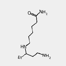 CCC(CCN)NCCCCCC(N)=O